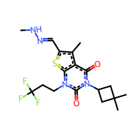 CN/N=C/c1sc2c(c1C)c(=O)n(C1CC(C)(C)C1)c(=O)n2CCC(F)(F)F